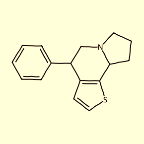 c1ccc(C2CN3CCCC3c3sccc32)cc1